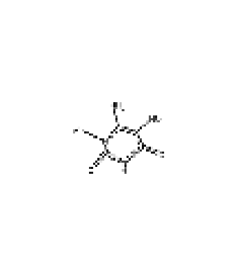 CCCn1c(N)c(N=O)c(=O)[nH]c1=O